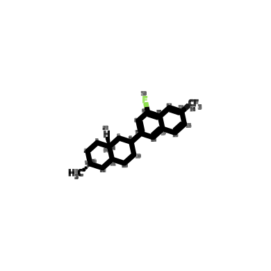 C[C@@H]1CC[C@@H]2CC(c3cc(F)c4cc(C(F)(F)F)ccc4c3)CCC2C1